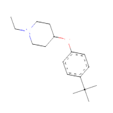 CCN1CCC(Oc2ccc(C(C)(C)C)cc2)CC1